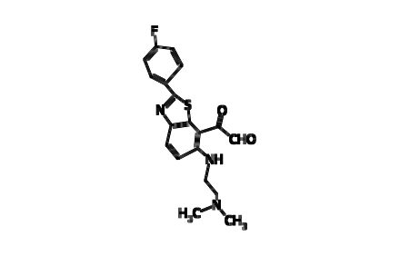 CN(C)CCNc1ccc2nc(-c3ccc(F)cc3)sc2c1C(=O)C=O